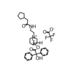 O=C(CC1CCCC1)NCC[N+]12CCC(CC1)[C@@H](OC(=O)C(O)(c1ccccc1)c1ccccc1)C2.O=C([O-])C(F)(F)F